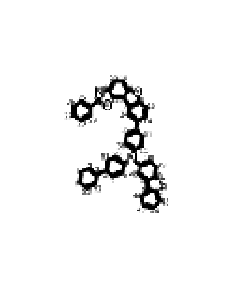 c1ccc(-c2ccc(N(c3ccc(-c4ccc5oc6ccc7nc(-c8ccccc8)oc7c6c5c4)cc3)c3ccc4sc5ccccc5c4c3)cc2)cc1